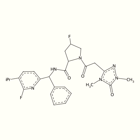 CC(C)c1ccc(C(NC(=O)C2CC(F)CN2C(=O)Cc2nn(C)c(=O)n2C)c2ccccc2)nc1F